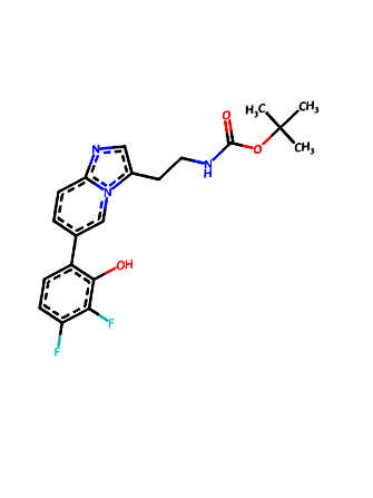 CC(C)(C)OC(=O)NCCc1cnc2ccc(-c3ccc(F)c(F)c3O)cn12